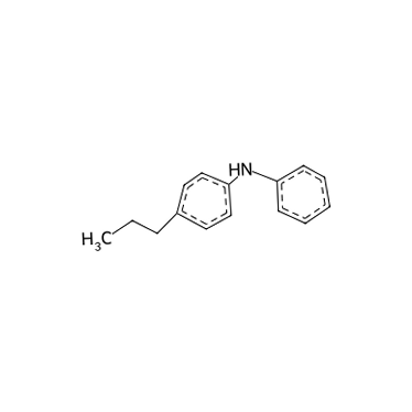 CCCc1ccc(Nc2ccccc2)cc1